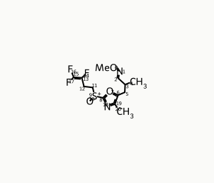 CO/N=C/C(C)Cc1oc([S+]([O-])CCC(F)=C(F)F)nc1C